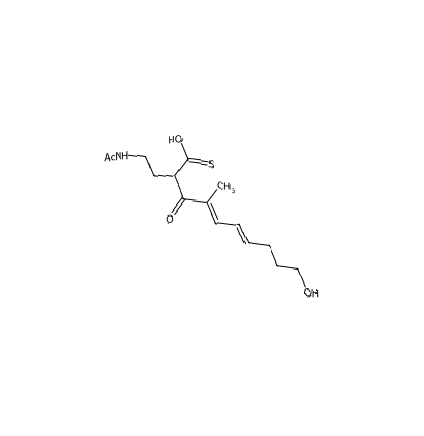 CC(=O)NCCC(C(=O)/C(C)=C/C=C/CCCO)C(O)=S